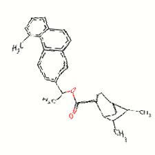 Cc1cccc2ccc3cc(C(C)OC(=O)C4CC5CC4C(C)C5C)ccc3c12